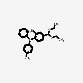 CCOC(OCC)c1ccc(N(c2ccccc2)c2ccc(C)cc2)c([SiH3])c1